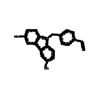 C=Cc1ccc(Cn2c3ccc(C(C)(C)C)cc3c3cc(C(C)(C)C)ccc32)cc1